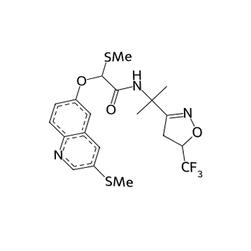 CSc1cnc2ccc(OC(SC)C(=O)NC(C)(C)C3=NOC(C(F)(F)F)C3)cc2c1